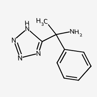 CC(N)(c1ccccc1)c1nnn[nH]1